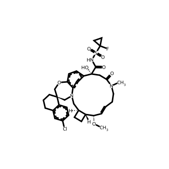 CO[C@H]1/C=C/CCN(C)C(=O)C[C@](O)(C(=O)NS(=O)(=O)C2(F)CC2)c2ccc3c(c2)N(C[C@@H]2CC[C@H]21)C[C@@]1(CCCc2cc(Cl)ccc21)CO3